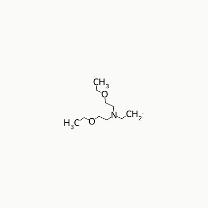 [CH2]CN(CCOCC)CCOCC